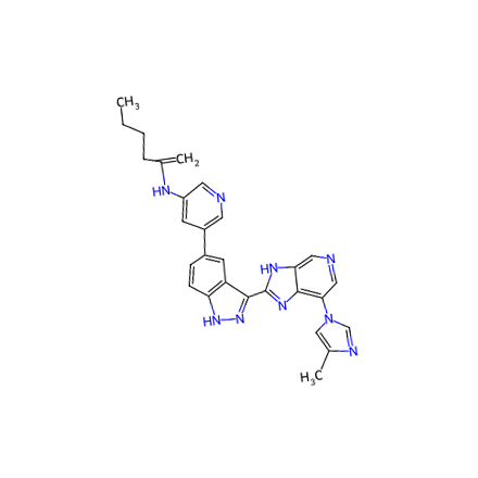 C=C(CCCC)Nc1cncc(-c2ccc3[nH]nc(-c4nc5c(-n6cnc(C)c6)cncc5[nH]4)c3c2)c1